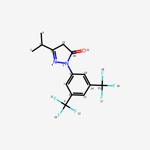 CC(C)C1=NN(c2cc(C(F)(F)F)cc(C(F)(F)F)c2)C(=O)C1